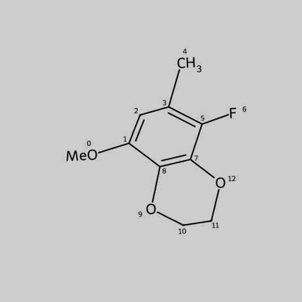 COc1cc(C)c(F)c2c1OCCO2